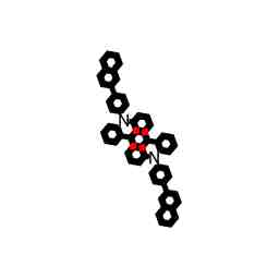 c1ccc(N(c2ccc(-c3ccc4ccccc4c3)cc2)c2ccccc2-c2ccc(-c3ccccc3N(c3ccccc3)c3ccc(-c4ccc5ccccc5c4)cc3)cc2)cc1